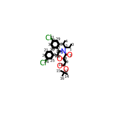 CCC(CC)N1C(=O)C(=CC(=O)OC(C)(C)C)O[C@H](c2cccc(Cl)c2)[C@H]1c1ccc(Cl)cc1